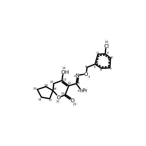 CCCC(=NOCc1cccc(Cl)c1)C1=C(O)CC2(CCCC2)OC1=O